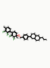 CCCC1CCC2CC(c3ccc(COC4(C)C=CC(c5ccc(C)c(F)c5F)=C(F)C4F)cc3)CCC2C1